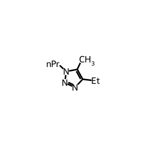 CCCn1nnc(CC)c1C